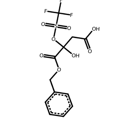 O=C(O)CC(O)(OS(=O)(=O)C(F)(F)F)C(=O)OCc1ccccc1